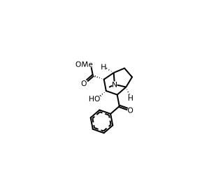 COC(=O)[C@@H]1[C@H]2CC[C@@H](C(C(=O)c3ccccc3)[C@@H]1O)N2C